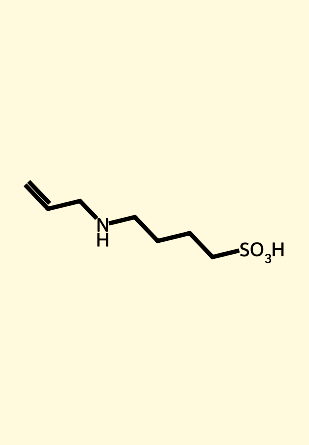 C=CCNCCCCS(=O)(=O)O